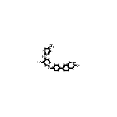 O=C1Cc2ccc(-c3ccc(SN4CCC(Nc5ccc(C(F)(F)F)cn5)C(O)C4)cc3)cc2CN1